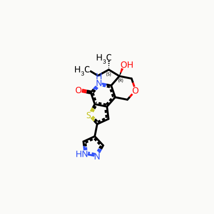 CC[C@H](C)[C@]1(O)COCc2c1[nH]c(=O)c1sc(-c3cn[nH]c3)cc21